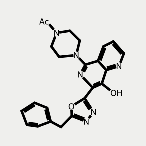 CC(=O)N1CCN(c2nc(-c3nnc(Cc4ccccc4)o3)c(O)c3ncccc23)CC1